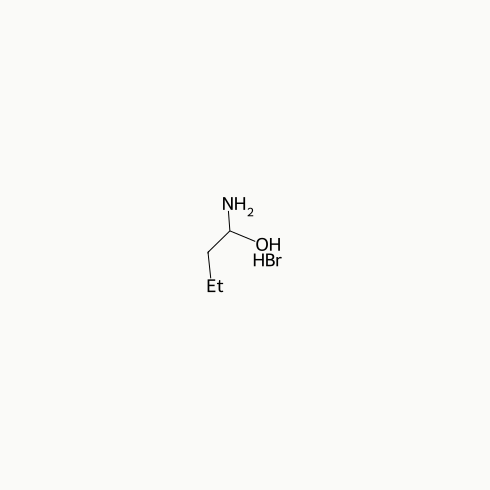 Br.CCCC(N)O